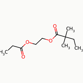 CCC(=O)OCCOC(=O)C(C)(C)CC